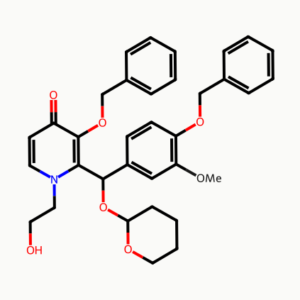 COc1cc(C(OC2CCCCO2)c2c(OCc3ccccc3)c(=O)ccn2CCO)ccc1OCc1ccccc1